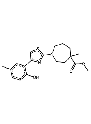 COC(=O)C1(C)CCCN(c2nc(-c3cc(C)ccc3O)cs2)CC1